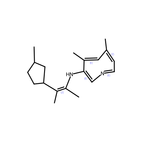 CC1=C/C=N/C=C(N/C(C)=C(/C)C2CCC(C)C2)\C(C)=C\1